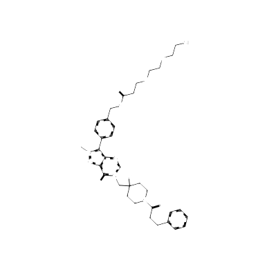 C[C@H](CC(=O)N1CCC(O)(Cn2cnc3c(-c4ccc(CNC(=O)CCOCCOCCN)cc4)n(C)nc3c2=O)CC1)c1ccccc1